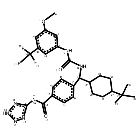 COc1cc(NC(=O)NC(c2ccc(C(=O)Nc3nn[nH]n3)cc2)C2CCC(C(C)(C)C)CC2)cc(C(F)(F)F)c1